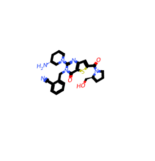 N#Cc1ccccc1Cn1c(N2CCC[C@@H](N)C2)nc2cc(C(=O)N3CCC[C@H]3CO)sc2c1=O